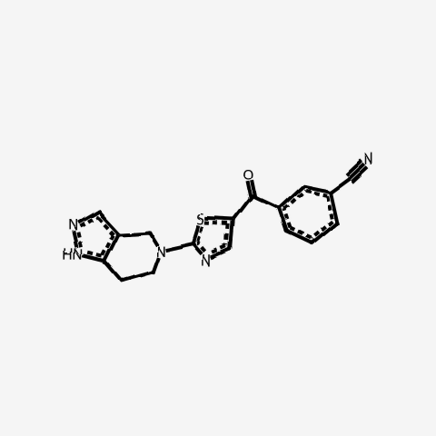 N#Cc1cccc(C(=O)c2cnc(N3CCc4[nH]ncc4C3)s2)c1